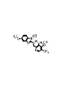 COc1ccc2[nH]c([S+]([O-])Cc3ncc(C)c(OC)c3C)nc2c1.Cl